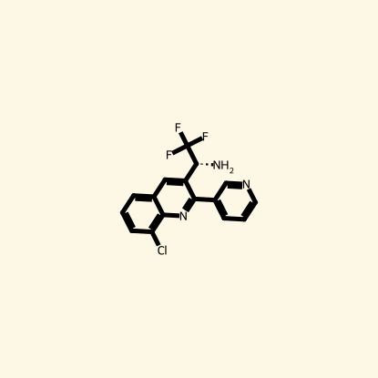 N[C@H](c1cc2cccc(Cl)c2nc1-c1cccnc1)C(F)(F)F